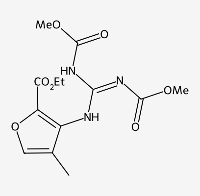 CCOC(=O)c1occ(C)c1N/C(=N\C(=O)OC)NC(=O)OC